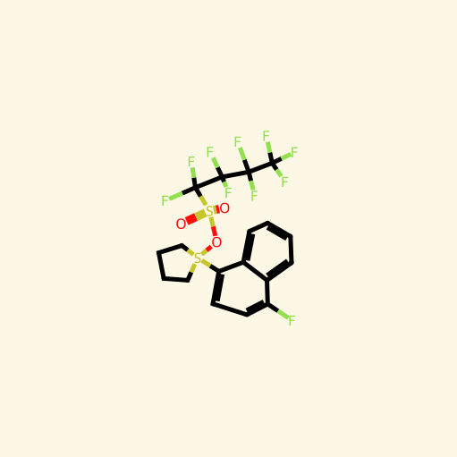 O=S(=O)(OS1(c2ccc(F)c3ccccc23)CCCC1)C(F)(F)C(F)(F)C(F)(F)C(F)(F)F